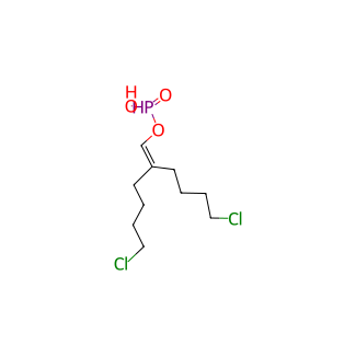 O=[PH](O)OC=C(CCCCCl)CCCCCl